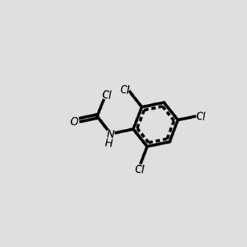 O=C(Cl)Nc1c(Cl)cc(Cl)cc1Cl